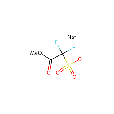 COC(=O)C(F)(F)S(=O)(=O)[O-].[Na+]